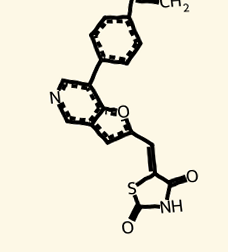 C=Cc1ccc(-c2cncc3cc(/C=C4\SC(=O)NC4=O)oc23)cc1